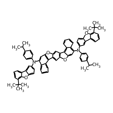 CC(C)c1ccc(N(c2ccc3oc4c(C(C)(C)C)cccc4c3c2)c2cc3oc4cc5c(cc4c3c3ccccc23)oc2cc(N(c3ccc(C(C)C)cc3)c3ccc4oc6c(C(C)(C)C)cccc6c4c3)c3ccccc3c25)cc1